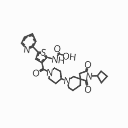 O=C(O)Nc1sc(-c2ccccn2)cc1C(=O)N1CCC(N2CCCC3(CC(=O)N(C4CCC4)C3=O)C2)CC1